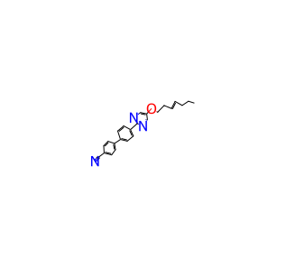 CCCC=CCCOc1cnc(-c2ccc(-c3ccc(C#N)cc3)cc2)nc1